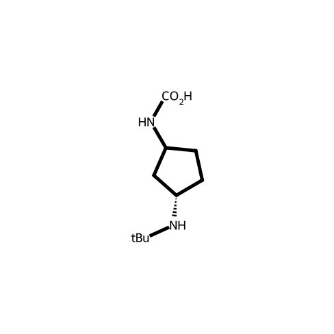 CC(C)(C)N[C@H]1CCC(NC(=O)O)C1